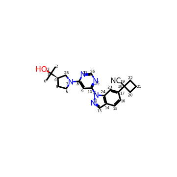 CC(C)(O)[C@@H]1CCN(c2cc(-n3ncc4ccc(C5(C#N)CCC5)cc43)ncn2)C1